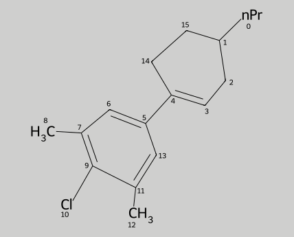 CCCC1CC=C(c2cc(C)c(Cl)c(C)c2)CC1